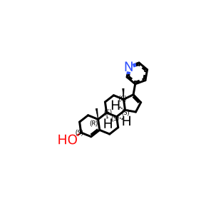 C[C@]12CC[C@H](O)C=C1CC[C@H]1[C@@H]2CC[C@]2(C)C(c3cccnc3)=CC[C@@H]12